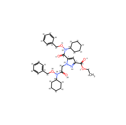 CCOC(=O)c1cc(C(=O)N(OCc2ccccc2)C2CCCCC2)n(CC(=O)N(OCc2ccccc2)C2CCCCC2)n1